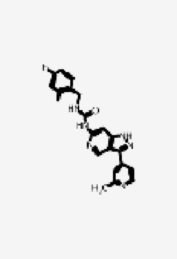 Cc1cc(-c2n[nH]c3cc(NC(=O)NCc4ccc(F)cc4F)ncc23)ccn1